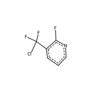 Fc1ncccc1C(F)(F)Cl